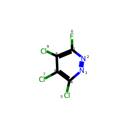 Fc1nnc(Cl)c(Cl)c1Cl